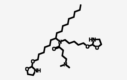 CCCCCCCCCC(CCCCCCOC1NCCO1)N(CCCCCOC1NCCO1)C(=O)CCCN(C)C